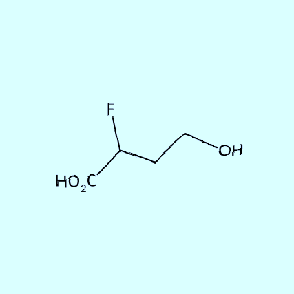 O=C(O)C(F)CCO